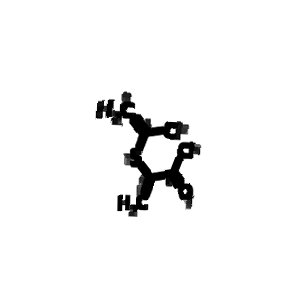 C=C(Cl)SC(=C)C(=O)Cl